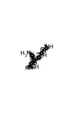 Cc1cc(C(=O)NC2CCNC(C)C2)ccc1-c1ccc(C[C@H](NC(=O)C2CCC(CN)CC2)C(=O)Nc2ccc3c(=O)[nH][nH]c3c2)cc1